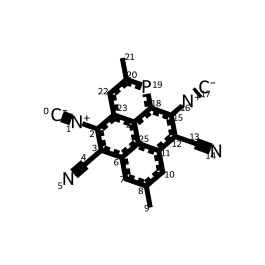 [C-]#[N+]c1c(C#N)c2cc(C)cc3c(C#N)c([N+]#[C-])c4pc(C)cc1c4c23